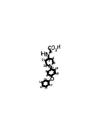 O=C(O)CNC1CCN(c2ccc(Oc3ccccc3)cc2)CC1